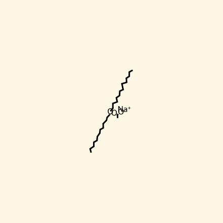 CC(=O)[O-].CCCCCCCCCCCCCOCCCCCCCCCCCCC.[Na+]